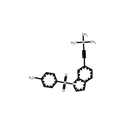 Cc1ccc(S(=O)(=O)n2ccc3ccc(C#C[Si](C)(C)C)cc32)cc1